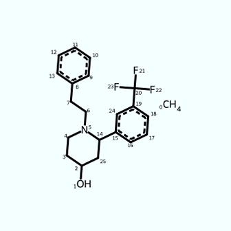 C.OC1CCN(CCc2ccccc2)C(c2cccc(C(F)(F)F)c2)C1